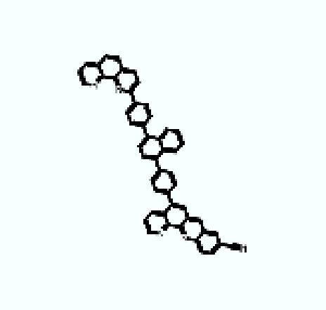 N#Cc1ccc2nc3c(cc(-c4ccc(-c5ccc(-c6ccc(-c7ccc8ccc9cccnc9c8n7)cc6)c6ccccc56)cc4)c4cccnc43)cc2c1